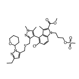 CCc1cc(CSCc2nn(C)c(C)c2-c2c(Cl)ccc3c2c(C)c(C(=O)OC)n3CCCOS(C)(=O)=O)n(C2CCCCO2)n1